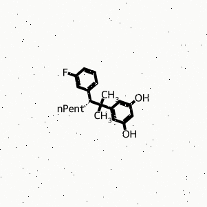 CCCCC[C@H](c1cccc(F)c1)C(C)(C)c1cc(O)cc(O)c1